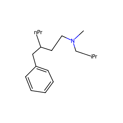 CCCC(CCN(C)CC(C)C)Cc1ccccc1